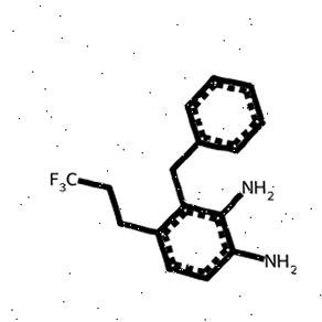 Nc1ccc(CCC(F)(F)F)c(Cc2ccccc2)c1N